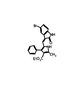 CCOC(=O)c1c(C)[nH]c(C=C2C(=O)Nc3ccc(Br)cc32)c1-c1ccccc1